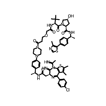 CC(=N)N1C(=N)[C@H](CC(=O)N[C@@H](C)c2ccc(N3CCN(C(=O)CCOCC(=O)N[C@H](C(=O)N4C[C@H](O)C[C@H]4C(=O)N[C@@H](C)c4ccc(-c5scnc5C)cc4)C(C)(C)C)CC3)cc2)N=C(c2ccc(Cl)cc2)c2c1sc(C)c2C